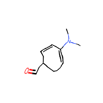 CN(C)C1=CCC(C=O)C=C1